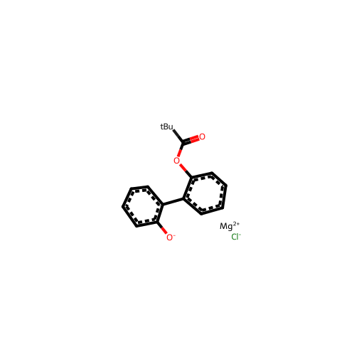 CC(C)(C)C(=O)Oc1ccccc1-c1ccccc1[O-].[Cl-].[Mg+2]